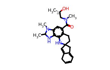 CC1Nc2c(cc(C(=O)N(C)C[C@H](C)O)c3c2NC2(C=C4CC=CC=C4C2)CC3)N1C